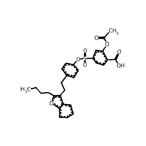 CCCCc1oc2ccccc2c1CCc1ccc(OS(=O)(=O)c2ccc(C(=O)O)c(OC(C)=O)c2)cc1